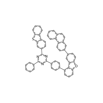 c1ccc(-c2nc(-c3ccc(-c4cccc5oc6ccc(-c7ccc8c(ccc9ccccc98)c7)cc6c45)cc3)nc(-c3ccc4c(c3)sc3ccccc34)n2)cc1